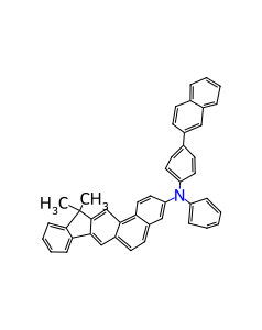 CC1(C)c2ccccc2-c2cc3ccc4cc(N(c5ccccc5)c5ccc(-c6ccc7ccccc7c6)cc5)ccc4c3cc21